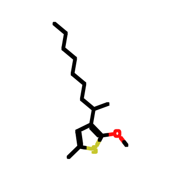 CCCCCCCC(C)c1cc(C)sc1OC